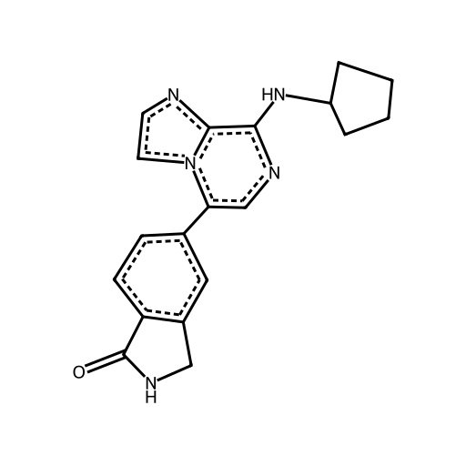 O=C1NCc2cc(-c3cnc(NC4CCCC4)c4nccn34)ccc21